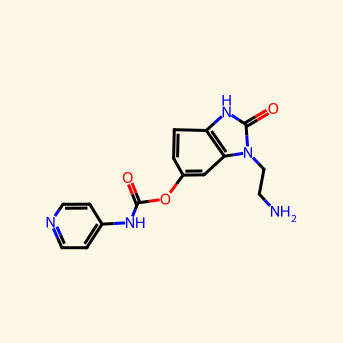 NCCn1c(=O)[nH]c2ccc(OC(=O)Nc3ccncc3)cc21